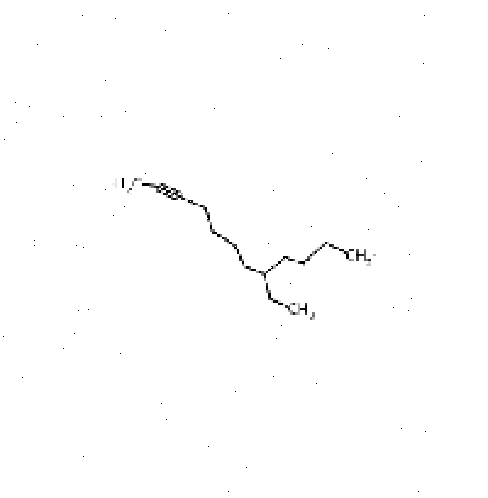 [CH2]C#CCCCCC(CC)CCC[CH2]